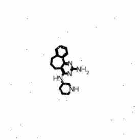 Nc1nc(NC2CCCNC2)c2c(n1)-c1ccccc1CCC2